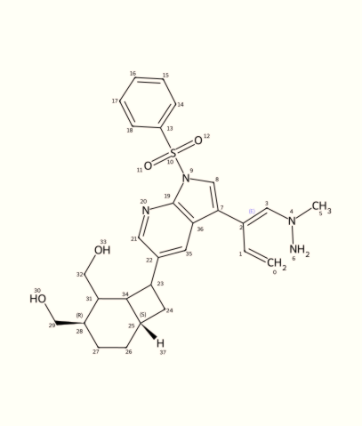 C=C/C(=C\N(C)N)c1cn(S(=O)(=O)c2ccccc2)c2ncc(C3C[C@@H]4CC[C@@H](CO)C(CO)C34)cc12